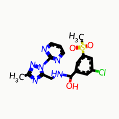 Cc1nc(CNC(O)c2cc(Cl)cc(S(C)(=O)=O)c2)n(-c2ncccn2)n1